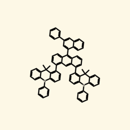 CC1(C)c2ccccc2N(c2ccccc2)c2cccc(-c3cccc4c(-c5cc(-c6ccccc6)cc6ccccc56)c5cccc(-c6cccc7c6C(C)(C)c6ccccc6N7c6ccccc6)c5cc34)c21